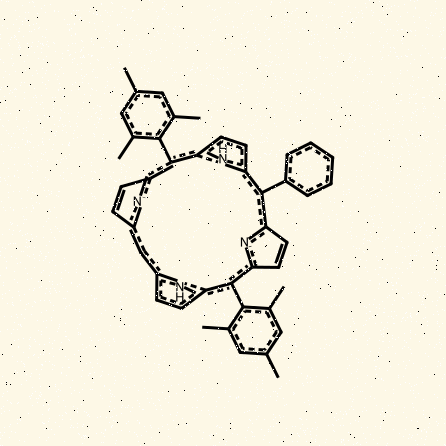 Cc1cc(C)c(-c2c3nc(c(-c4ccccc4)c4ccc([nH]4)c(-c4c(C)cc(C)cc4C)c4nc(cc5ccc2[nH]5)C=C4)C=C3)c(C)c1